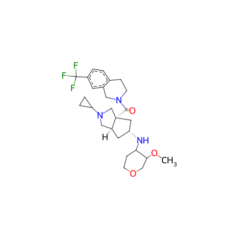 COC1COCCC1N[C@@H]1C[C@H]2CN(C3CC3)C[C@@]2(C(=O)N2CCc3ccc(C(F)(F)F)cc3C2)C1